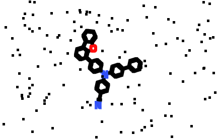 N#Cc1ccc(N(c2ccc(-c3ccccc3)cc2)c2ccc(-c3cccc4c3oc3ccccc34)cc2)cc1